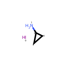 I.NC1CC1